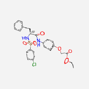 CCOC(=O)COc1ccc(NC(=O)[C@H](Cc2ccccc2)NS(=O)(=O)c2ccc(Cl)cc2)cc1